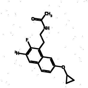 [2H]c1cc2ccc(OC3CC3)cc2c(CCNC(C)=O)c1F